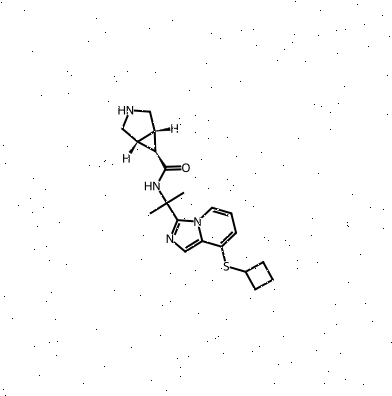 CC(C)(NC(=O)[C@H]1[C@@H]2CNC[C@@H]21)c1ncc2c(SC3CCC3)cccn12